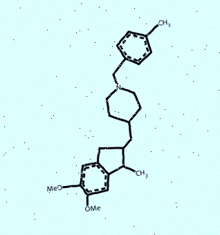 COc1cc2c(cc1OC)C(C)C(CC1CCN(Cc3ccc(C)cc3)CC1)C2